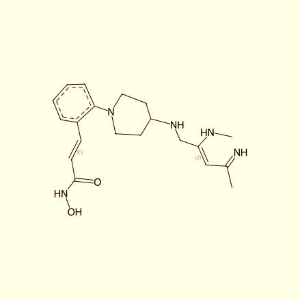 CN/C(=C\C(C)=N)CNC1CCN(c2ccccc2/C=C/C(=O)NO)CC1